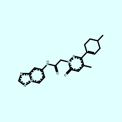 Cc1cc(=O)n(CC(=O)Nc2ccn3ncnc3c2)nc1C1=CCC(C)CC1